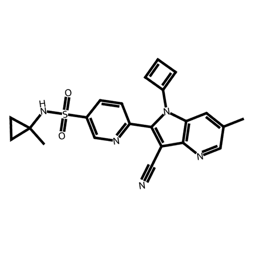 Cc1cnc2c(C#N)c(-c3ccc(S(=O)(=O)NC4(C)CC4)cn3)n(C3=CC=C3)c2c1